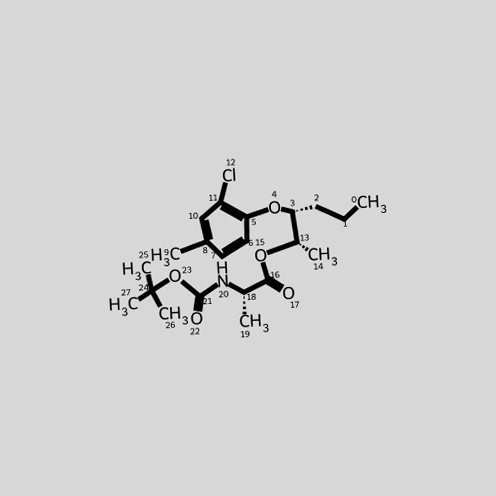 CCC[C@@H](Oc1ccc(C)cc1Cl)[C@H](C)OC(=O)[C@H](C)NC(=O)OC(C)(C)C